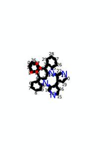 c1ccc(-c2c3ccccc3n3c4cnccc4c4ccncc4n4c5ccccc5c(-c5ccccc5)c4c23)cc1